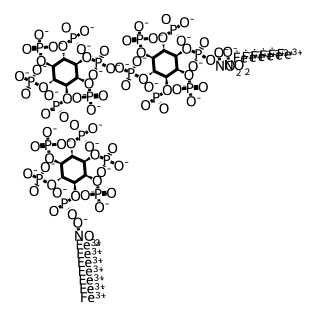 O=P([O-])([O-])O[C@H]1[C@H](OP(=O)([O-])[O-])[C@@H](OP(=O)([O-])[O-])[C@H](OP(=O)([O-])[O-])[C@@H](OP(=O)([O-])[O-])[C@H]1OP(=O)([O-])[O-].O=P([O-])([O-])O[C@H]1[C@H](OP(=O)([O-])[O-])[C@@H](OP(=O)([O-])[O-])[C@H](OP(=O)([O-])[O-])[C@@H](OP(=O)([O-])[O-])[C@H]1OP(=O)([O-])[O-].O=P([O-])([O-])O[C@H]1[C@H](OP(=O)([O-])[O-])[C@@H](OP(=O)([O-])[O-])[C@H](OP(=O)([O-])[O-])[C@@H](OP(=O)([O-])[O-])[C@H]1OP(=O)([O-])[O-].O=[N+]([O-])[O-].O=[N+]([O-])[O-].O=[N+]([O-])[O-].[Fe+3].[Fe+3].[Fe+3].[Fe+3].[Fe+3].[Fe+3].[Fe+3].[Fe+3].[Fe+3].[Fe+3].[Fe+3].[Fe+3].[Fe+3]